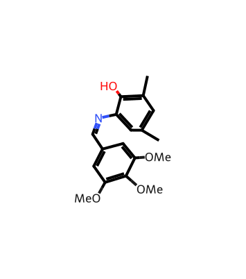 COc1cc(/C=N\c2cc(C)cc(C)c2O)cc(OC)c1OC